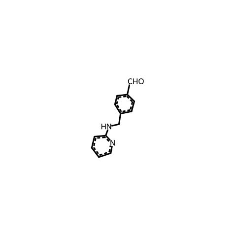 O=Cc1ccc(CNc2ccccn2)cc1